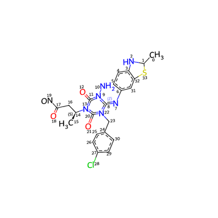 CC1Nc2ccc(/N=c3\n(N)c(=O)n([C@@H](C)CC(=O)N=O)c(=O)n3Cc3ccc(Cl)cc3)cc2S1